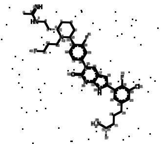 CC(=N)NCC[C@@H]1CCC[C@@H](c2ccc(-n3cc4cc(-c5cc(CCC[C@H](C)N)cc(Cl)c5F)[nH]c4nc3=O)cc2F)N1CCCF